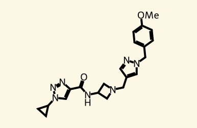 COc1ccc(Cn2cc(CN3CC(NC(=O)c4cn(C5CC5)nn4)C3)cn2)cc1